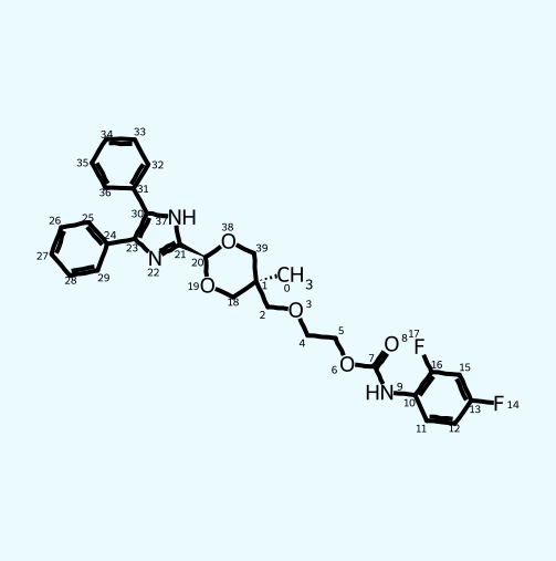 C[C@]1(COCCOC(=O)Nc2ccc(F)cc2F)CO[C@@H](c2nc(-c3ccccc3)c(-c3ccccc3)[nH]2)OC1